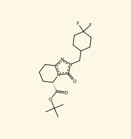 CC(C)(C)OC(=O)[C@@H]1CCCc2nn(CC3CCC(F)(F)CC3)c(=O)n21